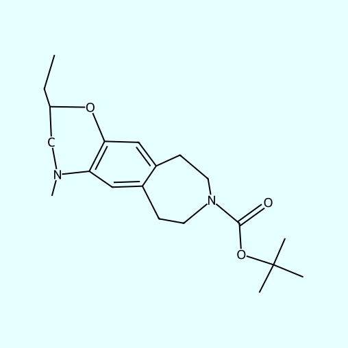 CCC1CN(C)c2cc3c(cc2O1)CCN(C(=O)OC(C)(C)C)CC3